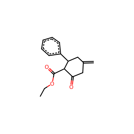 C=C1CC(=O)C(C(=O)OCC)C(c2ccccc2)C1